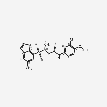 COc1ccc(NC(=O)CN(C)S(=O)(=O)c2cc(C)cc3cc[nH]c23)cc1Cl